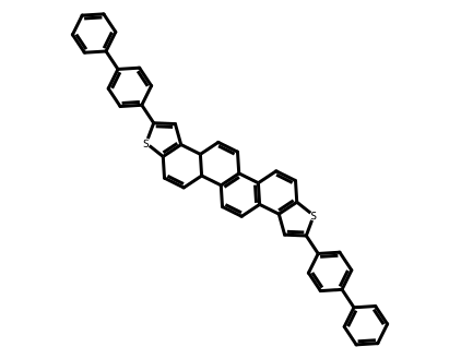 C1=CC2c3ccc4c(ccc5sc(-c6ccc(-c7ccccc7)cc6)cc54)c3C=CC2c2cc(-c3ccc(-c4ccccc4)cc3)sc21